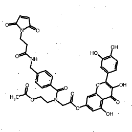 CC(=O)OCCN(CC(=O)Oc1cc(O)c2c(=O)c(O)c(-c3ccc(O)c(O)c3)oc2c1)C(=O)c1ccc(CNC(=O)CCN2C(=O)C=CC2=O)cc1